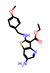 CCOC(=O)c1c(NCc2ccc(OC)cc2)sc2cc(N)cnc12